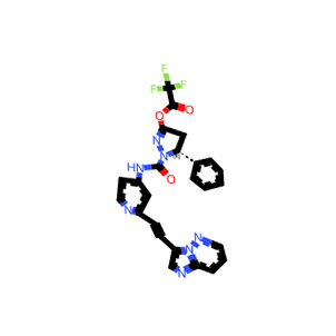 O=C(Nc1ccnc(C#Cc2cnc3cccnn23)c1)N1N=C(OC(=O)C(F)(F)F)C[C@@H]1c1ccccc1